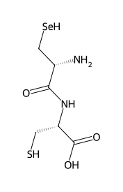 N[C@@H](C[SeH])C(=O)N[C@@H](CS)C(=O)O